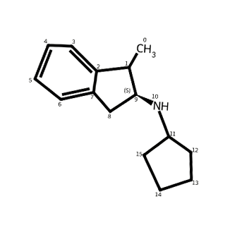 CC1c2ccccc2C[C@@H]1NC1CCCC1